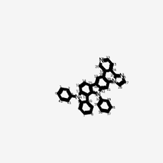 c1ccc(-n2c3ccccc3c3c2ccc2c4cc5c6cnccc6c6nccn6c5cc4n(-c4ccccc4)c23)cc1